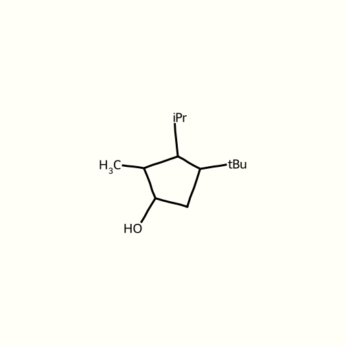 CC(C)C1C(C)C(O)CC1C(C)(C)C